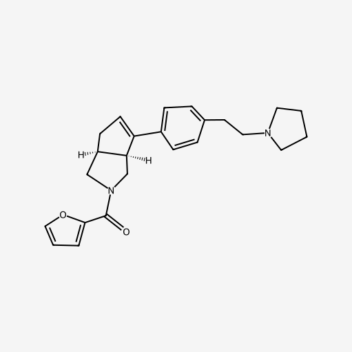 O=C(c1ccco1)N1C[C@H]2CC=C(c3ccc(CCN4CCCC4)cc3)[C@H]2C1